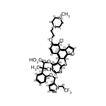 CN1CCN(CCOc2ccc3c(c2Cl)c2ccoc2c2sc4ncnc(OC(C(=O)O)C(C)(C)c5ccccc5OCc5ccnn5CC(F)(F)F)c4c32)CC1